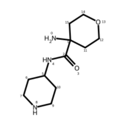 NC1(C(=O)NC2CCNCC2)CCOCC1